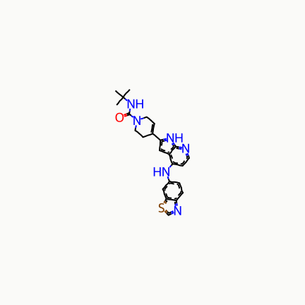 CC(C)(C)NC(=O)N1CC=C(c2cc3c(Nc4ccc5ncsc5c4)ccnc3[nH]2)CC1